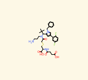 CC(C)(C)C(c1cc(-c2cc(F)ccc2F)cn1Cc1ccccc1)N(CCCN)C(=O)CSCC(NC(=O)CCC(=O)O)C(=O)O